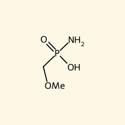 COCP(N)(=O)O